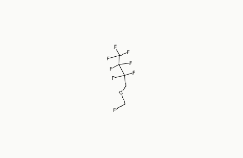 FCOCC(F)(F)C(F)(F)C(F)(F)F